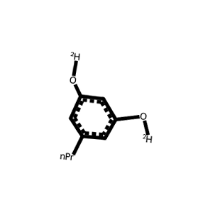 [2H]Oc1cc(CCC)cc(O[2H])c1